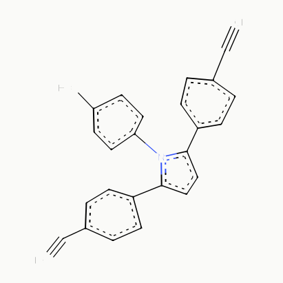 C#Cc1ccc(-c2ccc(-c3ccc(C#C)cc3)n2-c2ccc(C)cc2)cc1